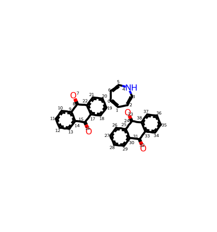 C1=CC=CNC=C1.O=C1c2ccccc2C(=O)c2ccccc21.O=C1c2ccccc2C(=O)c2ccccc21